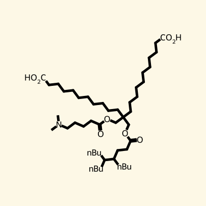 CCCCC(CCCC)C(CCCC)CCC(=O)OCC(CCCCCCCCCCC(=O)O)(CCCCCCCCCCC(=O)O)COC(=O)CCCCN(C)C